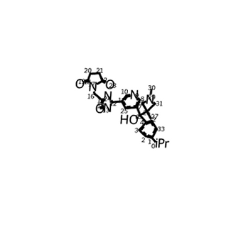 CC(C)c1ccc(C(O)(c2cncc(-c3noc(CN4C(=O)CCC4=O)n3)c2)C2(C)CN(C)C2)cc1